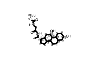 CC(NC(=O)CNC(=O)OC(C)(C)C)[C@H]1CCC2C3CCC4C[C@@H](O)CC[C@]4(C)C3[C@@H](O)C[C@@]21C